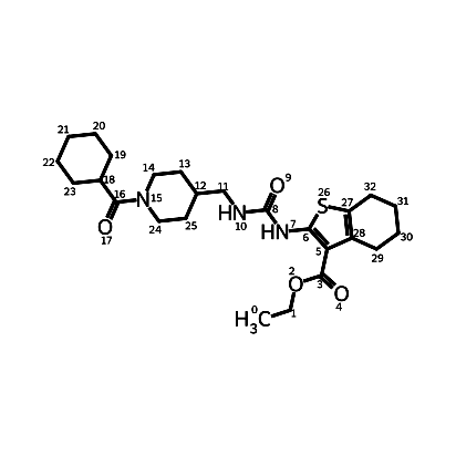 CCOC(=O)c1c(NC(=O)NCC2CCN(C(=O)C3CCCCC3)CC2)sc2c1CCCC2